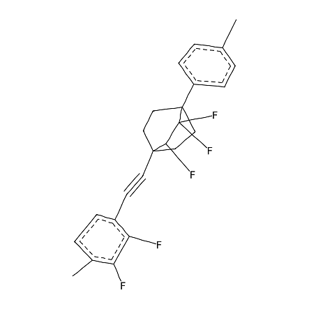 Cc1ccc(C23CCC(C#Cc4ccc(C)c(F)c4F)(CC2)C(F)C3(F)F)cc1